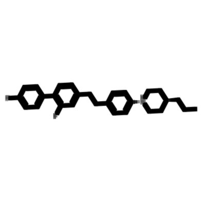 CCC[C@H]1CC[Si@H](c2ccc(CCc3ccc(-c4ccc(F)cc4)c(F)c3)cc2)CC1